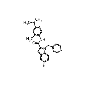 Cc1cc(N(C)C)ncc1NC(=O)c1cc2cc(F)ccc2n1Cc1ccncc1